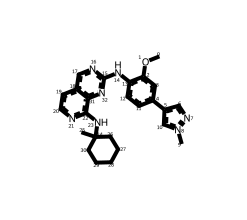 COc1cc(-c2cnn(C)c2)ccc1Nc1ncc2ccnc(NC3(C)CCCCC3)c2n1